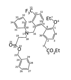 CCOC(=O)Cc1ccc(OCC)c(-c2ccc(C(F)(F)F)cc2CN(CCC(=O)OCc2ccccc2)c2ccccc2)c1